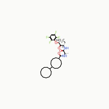 C[C@H](NC(=O)C1CCCCCC(C2CCCCCCCCCC2)CCCC1)C(=O)N[C@@H](CC(=O)O)C(=O)COc1c(F)c(F)cc(F)c1F